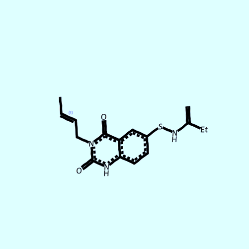 C=C(CC)NSc1ccc2[nH]c(=O)n(C/C=C/C)c(=O)c2c1